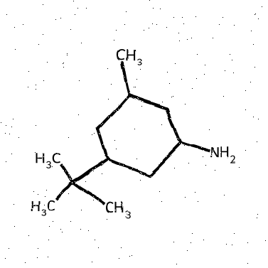 CC1CC(N)CC(C(C)(C)C)C1